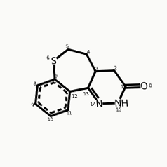 O=C1CC2CCSc3ccccc3C2=NN1